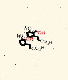 O=C(O)C=Cc1cccc([N+](=O)[O-])c1CO.O=C(O)C=Cc1cccc([N+](=O)[O-])c1O